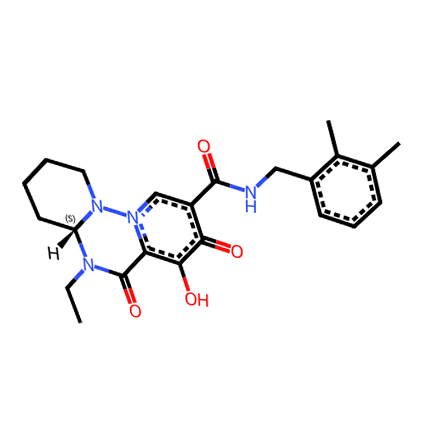 CCN1C(=O)c2c(O)c(=O)c(C(=O)NCc3cccc(C)c3C)cn2N2CCCC[C@@H]12